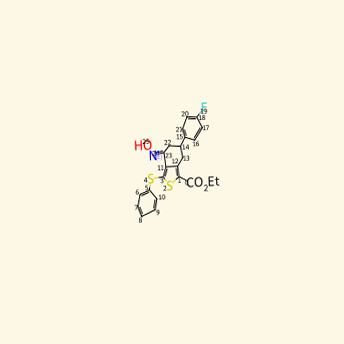 CCOC(=O)c1sc(Sc2ccccc2)c2c1CC(c1ccc(F)cc1)C/C2=N\O